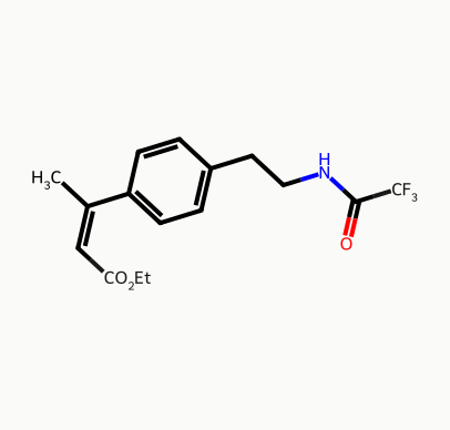 CCOC(=O)/C=C(/C)c1ccc(CCNC(=O)C(F)(F)F)cc1